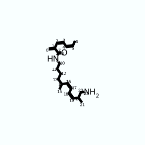 C=C(/C=C\C=C/C)C(=O)NCCCCC(C)/C=C\C=C/C(C)CN